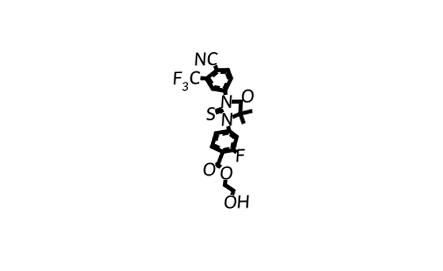 CC1(C)C(=O)N(c2ccc(C#N)c(C(F)(F)F)c2)C(=S)N1c1ccc(C(=O)OCCO)c(F)c1